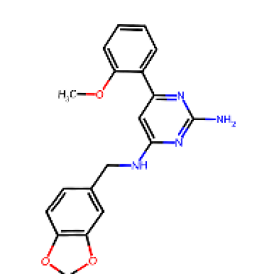 COc1ccccc1-c1cc(NCc2ccc3c(c2)OCO3)nc(N)n1